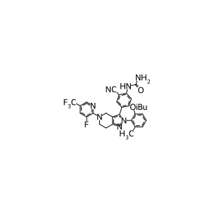 Cc1cccc(OCC(C)C)c1-n1nc2c(c1-c1ccc(NC(N)=O)c(C#N)c1)CN(c1ncc(C(F)(F)F)cc1F)CC2